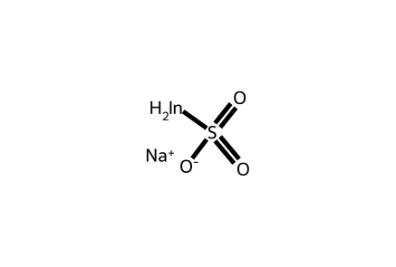 O=[S](=O)([O-])[InH2].[Na+]